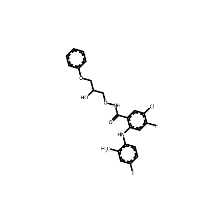 Cc1cc(I)ccc1Nc1cc(F)c(Cl)cc1C(=O)NOCC(O)COc1ccccc1